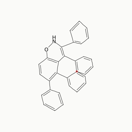 c1ccc(C2=C(c3ccccc3)c3c(ccc(-c4ccccc4)c3-c3ccccc3)ON2)cc1